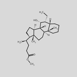 CC[C@H]1[C@@H](O)[C@@H]2[C@H](CC[C@]3(C)[C@@H]([C@H](C)CCC(=O)OC)CC[C@@H]23)[C@@]2(C)CCCC[C@@H]12